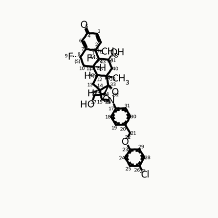 C[C@]12C=CC(=O)C=C1[C@@H](F)C[C@H]1[C@@H]3C[C@H]4CN(c5ccc(COc6ccc(Cl)cc6)cc5)O[C@@]4(C(=O)CO)[C@@]3(C)C[C@H](O)[C@@]12F